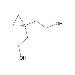 OCC[N+]1(CCO)CC1